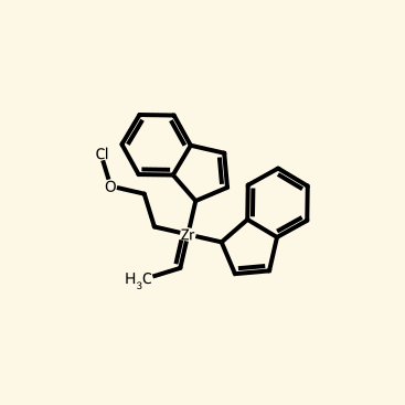 C[CH]=[Zr]([CH2]COCl)([CH]1C=Cc2ccccc21)[CH]1C=Cc2ccccc21